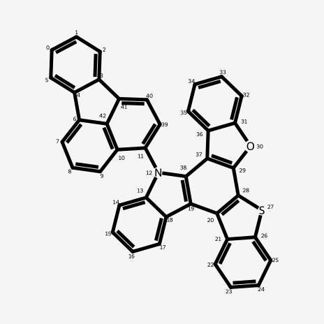 c1ccc2c(c1)-c1cccc3c(-n4c5ccccc5c5c6c7ccccc7sc6c6oc7ccccc7c6c54)ccc-2c13